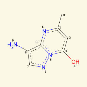 Cc1cc(O)n2ncc(N)c2n1